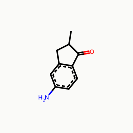 CC1Cc2cc(N)ccc2C1=O